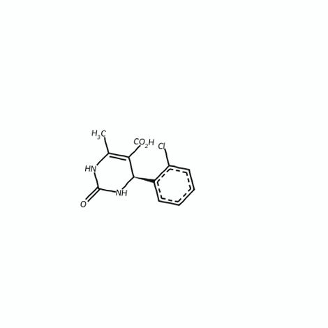 CC1=C(C(=O)O)[C@@H](c2ccccc2Cl)NC(=O)N1